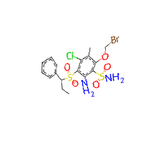 CCC(c1ccccc1)S(=O)(=O)c1c(N)c(S(N)(=O)=O)c(OCBr)c(C)c1Cl